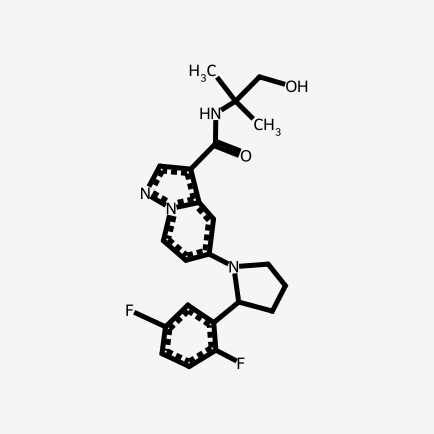 CC(C)(CO)NC(=O)c1cnn2ccc(N3CCCC3c3cc(F)ccc3F)cc12